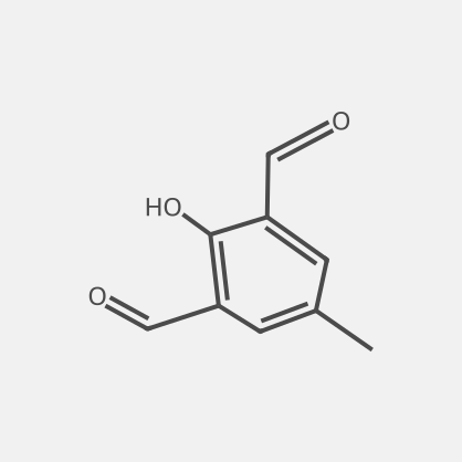 Cc1cc(C=O)c(O)c(C=O)c1